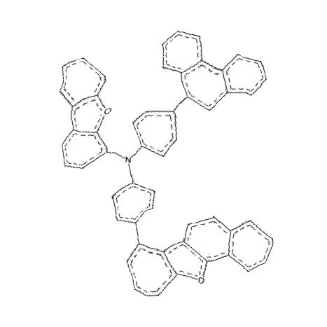 c1ccc2c(c1)cc(-c1ccc(N(c3ccc(-c4cccc5oc6c7ccccc7ccc6c45)cc3)c3cccc4c3oc3ccccc34)cc1)c1ccccc12